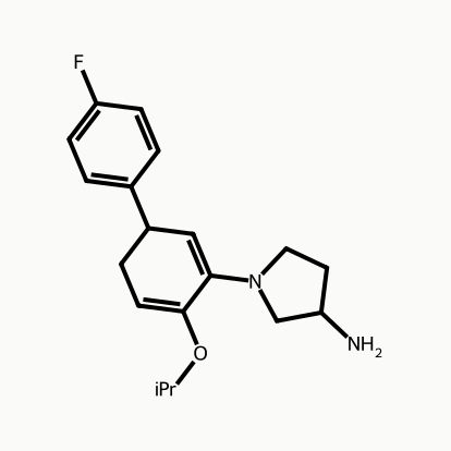 CC(C)OC1=CCC(c2ccc(F)cc2)C=C1N1CCC(N)C1